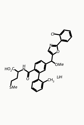 COC(c1ccc(C(=O)NC(CCSC)C(=O)O)c(-c2ccccc2C)c1)c1cnc(-c2ccccc2Cl)o1.[LiH]